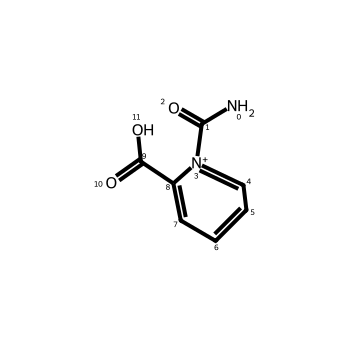 NC(=O)[n+]1ccccc1C(=O)O